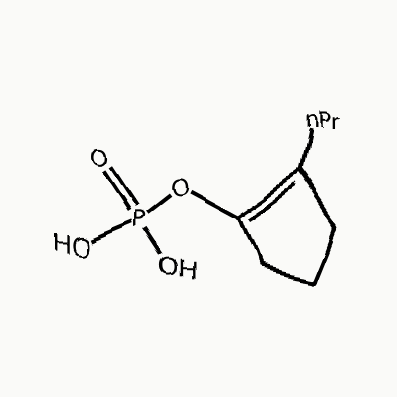 CCCC1=C(OP(=O)(O)O)CCC1